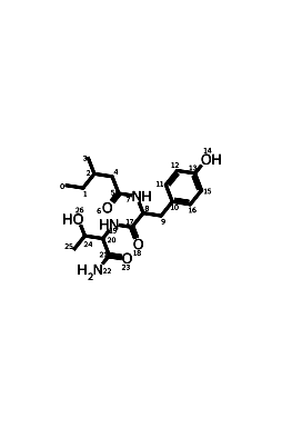 CCC(C)CC(=O)NC(Cc1ccc(O)cc1)C(=O)NC(C(N)=O)C(C)O